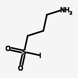 NCCCS(=O)(=O)I